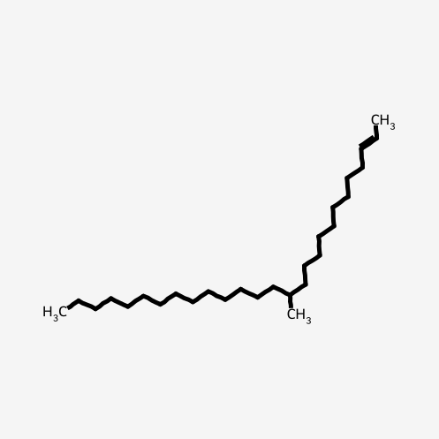 CC=CCCCCCCCCCC(C)CCCCCCCCCCCCCC